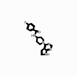 O=C(NC1CCN(c2ncnc3[nH]ccc23)CC1)c1ccc(F)cc1